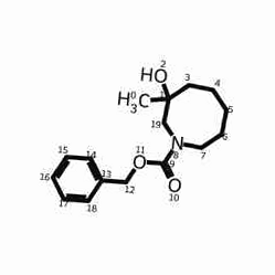 CC1(O)CCCCCN(C(=O)OCc2ccccc2)C1